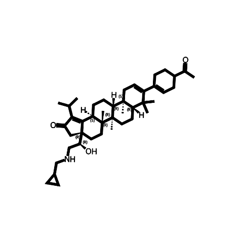 CC(=O)C1CC=C(C2=CC[C@]3(C)[C@H]4CC[C@@H]5C6=C(C(C)C)C(=O)C[C@]6([C@@H](O)CNCC6CC6)CC[C@@]5(C)[C@]4(C)CC[C@H]3C2(C)C)CC1